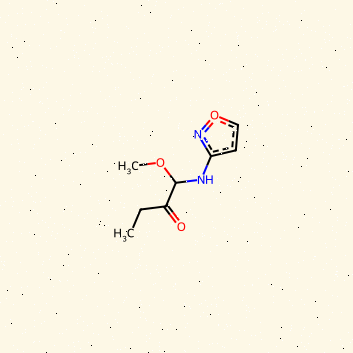 CCC(=O)C(Nc1ccon1)OC